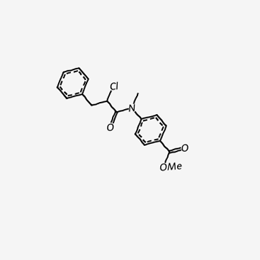 COC(=O)c1ccc(N(C)C(=O)C(Cl)Cc2ccccc2)cc1